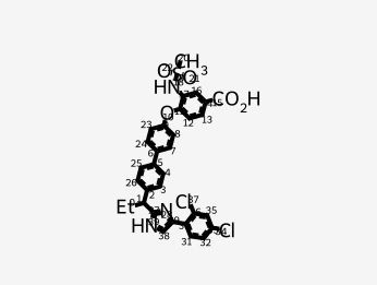 CCC(c1ccc(-c2ccc(Oc3ccc(C(=O)O)cc3NS(C)(=O)=O)cc2)cc1)c1nc(-c2ccc(Cl)cc2Cl)c[nH]1